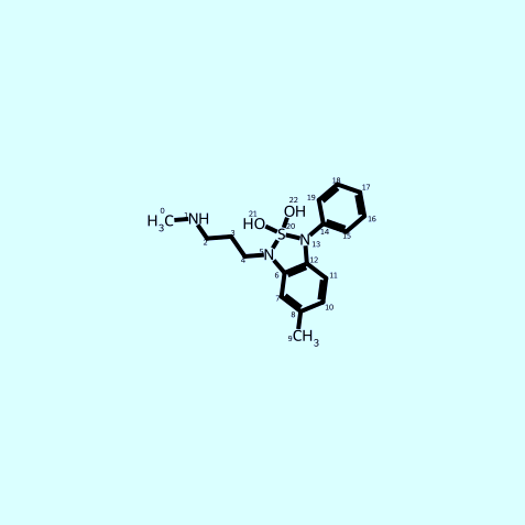 CNCCCN1c2cc(C)ccc2N(c2ccccc2)S1(O)O